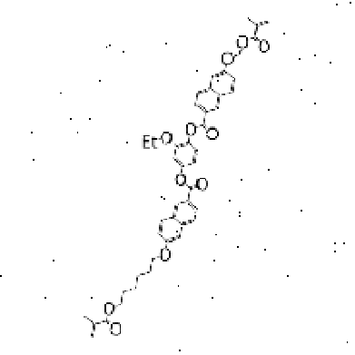 C=C(C)C(=O)OCCCCCCOc1ccc2cc(C(=O)Oc3ccc(OC(=O)c4ccc5cc(OCOC(=O)C(=C)C)ccc5c4)c(OCC)c3)ccc2c1